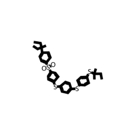 CCC(C)(C)Sc1ccc(Sc2ccc(Sc3ccc(S(=O)(=O)c4ccc(C(C)(CC)CC)cc4)cc3)cc2)cc1